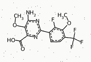 COc1c(N)nc(-c2ccc(C(F)(F)F)c(OC)c2F)nc1C(=O)O